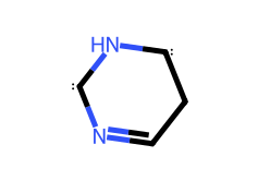 [C]1CC=N[C]N1